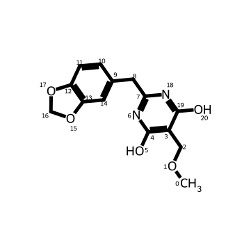 COCc1c(O)nc(Cc2ccc3c(c2)OCO3)nc1O